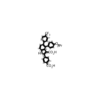 CC(C)Oc1ccc(-c2c(-c3ccc(C(F)(F)F)cn3)ccc3[nH]c(-c4ccc(C(=O)O)cc4)c(C(=O)O)c23)cc1